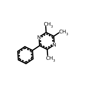 Cc1nc(C)c(-c2ccccc2)nc1C